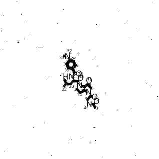 CC(=O)N(C)CC(=O)N1CC(=O)C2C1CCN2C(=O)C(CC(C)C)NC(=O)c1ccc(N(C)C)cc1